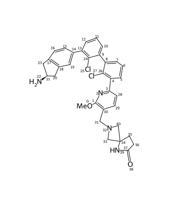 COc1nc(-c2cccc(-c3cccc(-c4ccc5c(c4)C[C@@H](N)C5)c3Cl)c2Cl)ccc1CN1CC2(CCC(=O)N2)C1